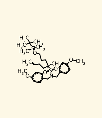 C=CCC[C@](C)(CCCO[Si](C)(C)C(C)(C)C)S(=O)(=O)N(Cc1ccc(OC)cc1)Cc1ccc(OC)cc1